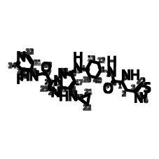 N[C@@H](Cc1cscn1)C(=O)N[C@H]1CC[C@H](Nc2cc(NC3CC3)c3ncc(C(=O)Nc4ccncc4F)n3n2)CC1